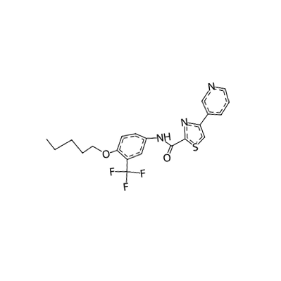 CCCCCOc1ccc(NC(=O)c2nc(-c3cccnc3)cs2)cc1C(F)(F)F